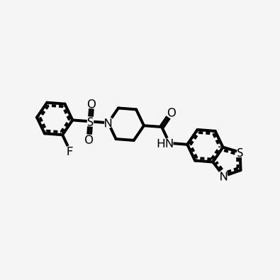 O=C(Nc1ccc2scnc2c1)C1CCN(S(=O)(=O)c2ccccc2F)CC1